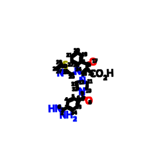 N=C(N)c1ccc(C(=O)N2CCN(c3c(C(=O)O)c(=O)c4ccccc4n3Cc3nccs3)CC2)cc1